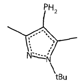 Cc1nn(C(C)(C)C)c(C)c1P